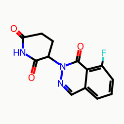 O=C1CCC(n2ncc3cccc(F)c3c2=O)C(=O)N1